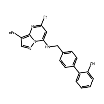 CCCc1cnn2c(NCc3ccc(-c4ccccc4C#N)cc3)cc(CC)nc12